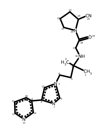 CC(C)(CCn1cnc(-c2cccnc2)c1)NCC(=O)N1CCCC1C#N